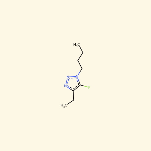 CCCCn1nnc(CC)c1F